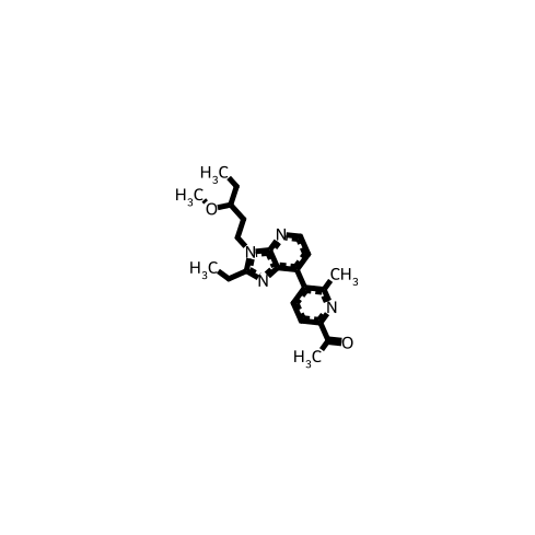 CCc1nc2c(-c3ccc(C(C)=O)nc3C)ccnc2n1CCC(CC)OC